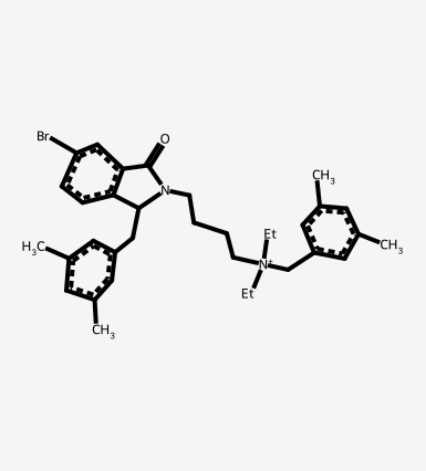 CC[N+](CC)(CCCCN1C(=O)c2cc(Br)ccc2C1Cc1cc(C)cc(C)c1)Cc1cc(C)cc(C)c1